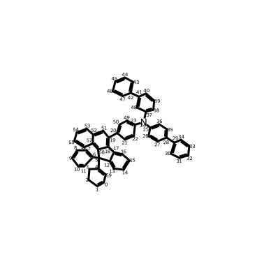 C1=CCCC(C2(c3ccccc3)c3ccccc3-c3c(-c4ccc(N(c5ccc(-c6ccccc6)cc5)c5cccc(-c6ccccc6)c5)cc4)cc4ccccc4c32)=C1